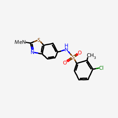 CNc1nc2ccc(NS(=O)(=O)c3cccc(Cl)c3C)cc2s1